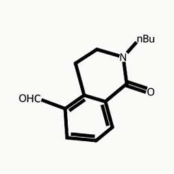 CCCCN1CCc2c(C=O)cccc2C1=O